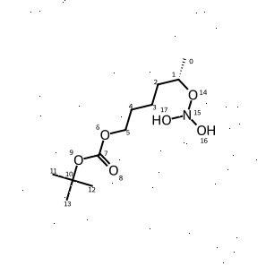 C[C@@H](CCCCOC(=O)OC(C)(C)C)ON(O)O